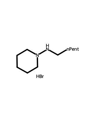 Br.CCCCCCNN1CCCCC1